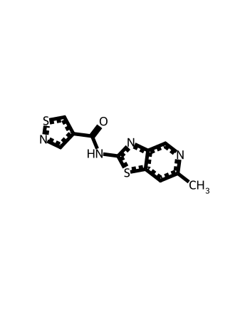 Cc1cc2sc(NC(=O)c3cnsc3)nc2cn1